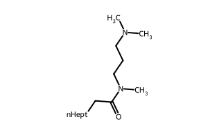 CCCCCCCCC(=O)N(C)CCCN(C)C